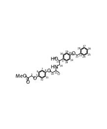 COC(=O)COc1ccc(OCC(C)NCC(O)c2ccc(OCc3ccccc3)cc2)cc1